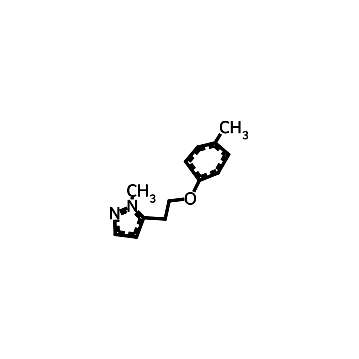 Cc1ccc(OCCc2ccnn2C)cc1